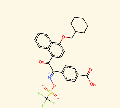 O=C(O)c1ccc(/C(=N\OS(=O)(=O)C(F)(F)F)C(=O)c2ccc(OCC3CCCCC3)c3ccccc23)cc1